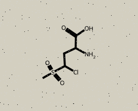 CS(=O)(=O)C(Cl)CC(N)C(=O)O